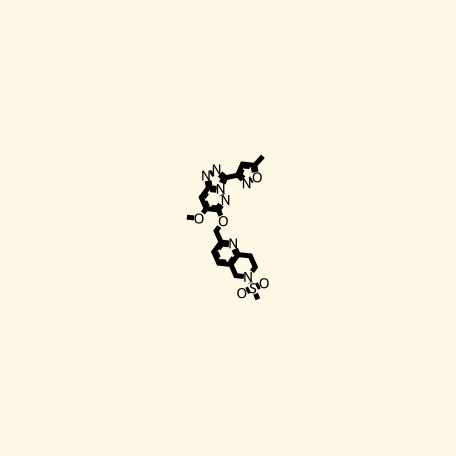 COc1cc2nnc(-c3cc(C)on3)n2nc1OCc1ccc2c(n1)CCN(S(C)(=O)=O)C2